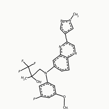 COc1cc(F)cc(N(CC(C)(O)C(F)(F)F)c2ccc3ncc(-c4cnn(C)c4)nc3c2)c1